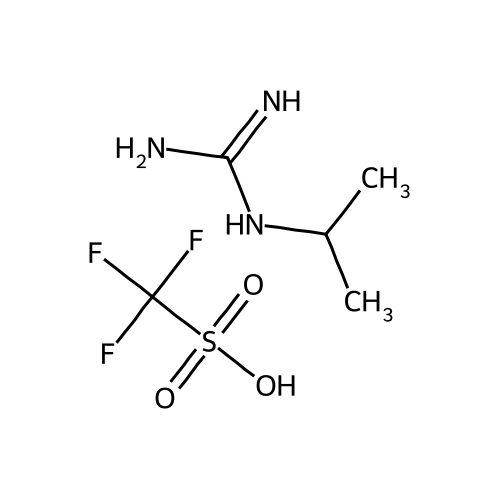 CC(C)NC(=N)N.O=S(=O)(O)C(F)(F)F